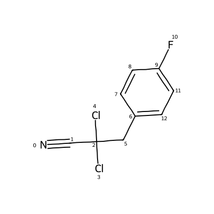 N#CC(Cl)(Cl)Cc1ccc(F)cc1